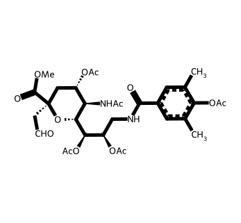 COC(=O)[C@@]1(CC=O)C[C@H](OC(C)=O)[C@@H](NC(C)=O)[C@H]([C@H](OC(C)=O)[C@@H](CNC(=O)c2cc(C)c(OC(C)=O)c(C)c2)OC(C)=O)O1